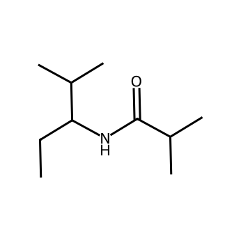 CCC(NC(=O)C(C)C)C(C)C